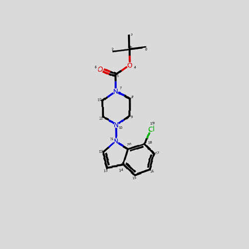 CC(C)(C)OC(=O)N1CCN(n2ccc3cccc(Cl)c32)CC1